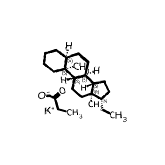 CCC(=O)[O-].CC[C@H]1CC[C@H]2[C@@H]3CC[C@@H]4CCCC[C@]4(C)[C@H]3CC[C@]12C.[K+]